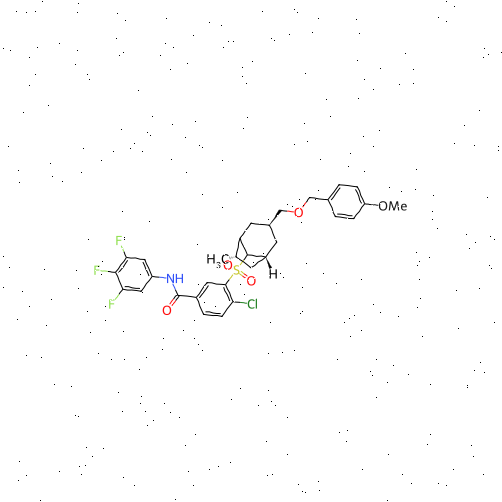 COc1ccc(COC[C@@H]2CC3C(S(=O)(=O)c4cc(C(=O)Nc5cc(F)c(F)c(F)c5)ccc4Cl)[C@H](C2)C[C@@H]3C)cc1